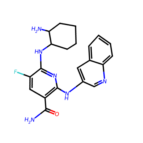 NC(=O)c1cc(F)c(NC2CCCCC2N)nc1Nc1cnc2ccccc2c1